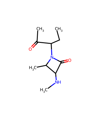 CCC(C(C)=O)N1C(=O)C(NC)C1C